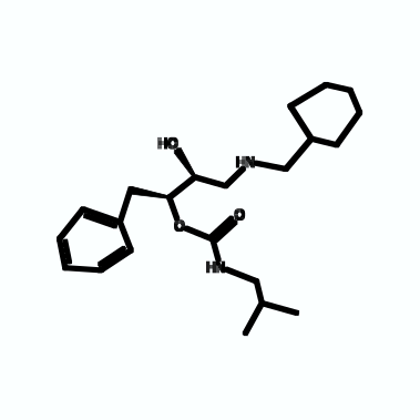 CC(C)CNC(=O)O[C@@H](Cc1ccccc1)[C@@H](O)CNCC1CCCCC1